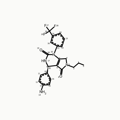 CCCN1CC2=C(C1=O)[C@@H](c1ccc(N)cc1)NC(=O)N2c1cccc(C(F)(F)F)c1